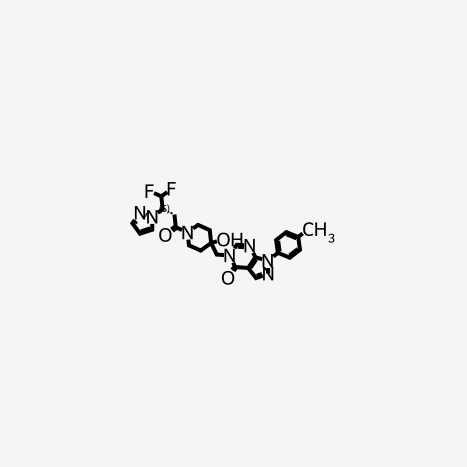 Cc1ccc(-n2ncc3c(=O)n(CC4(O)CCN(C(=O)C[C@@H](C(F)F)n5cccn5)CC4)cnc32)cc1